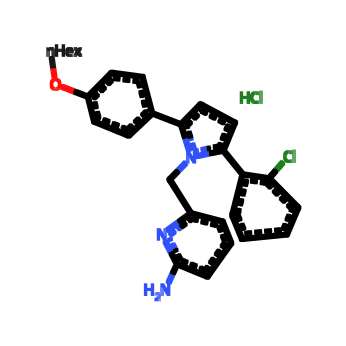 CCCCCCOc1ccc(-c2ccc(-c3ccccc3Cl)n2Cc2cccc(N)n2)cc1.Cl